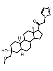 COC[C@@]1(O)CC[C@@H]2C3CC[C@@]4(C)C(CC[C@@H]4C(=O)Cn4ccnn4)C3CC[C@H]2C1